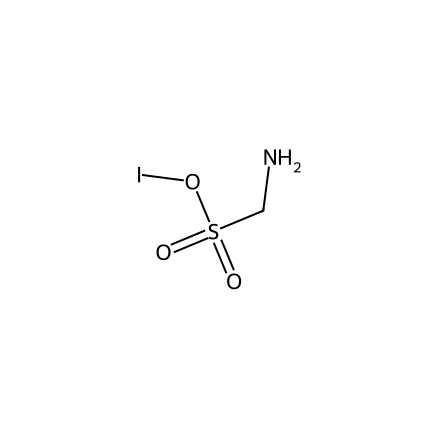 NCS(=O)(=O)OI